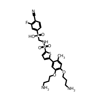 Cc1cc(OCCCN)c(OCCCN)cc1-c1ccc(S(=O)(=O)NCP(=O)(O)c2ccc(C#N)c(F)c2)s1